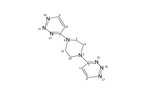 c1cc(N2CCN(c3ccnnn3)CC2)nnn1